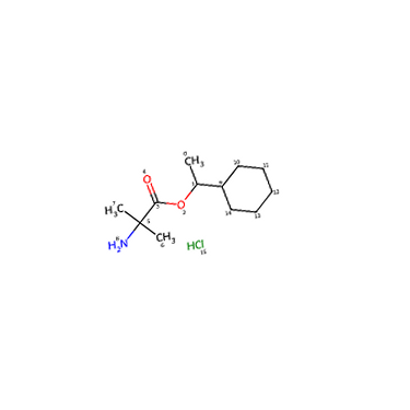 CC(OC(=O)C(C)(C)N)C1CCCCC1.Cl